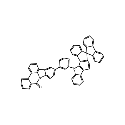 O=c1c2ccccc2c2cccc3c4cc(-c5cccc(-n6c7ccccc7c7ccc8c(c76)-c6ccccc6C86c7ccccc7-c7ccccc76)c5)ccc4n1c23